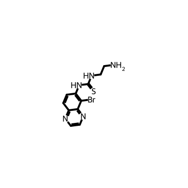 NCCNC(=S)Nc1ccc2nccnc2c1Br